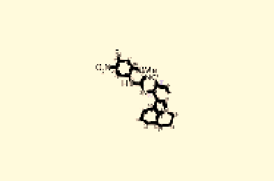 C=C(/N=C(\C(C#N)=C/C)c1cn2c3c(cccc13)CCC2)Nc1cc([N+](=O)[O-])c(F)cc1OC